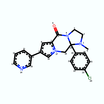 CN1CCN2C(=O)c3cc(-c4cccnc4)cn3CC12c1ccc(Cl)cc1